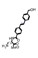 COC(=O)[C@H](CN)NC(=O)c1ccc(/C=C/c2ccc(CO)cc2)cc1